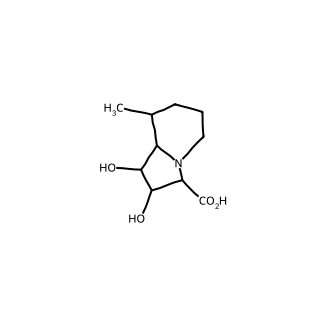 CC1CCCN2C(C(=O)O)C(O)C(O)C12